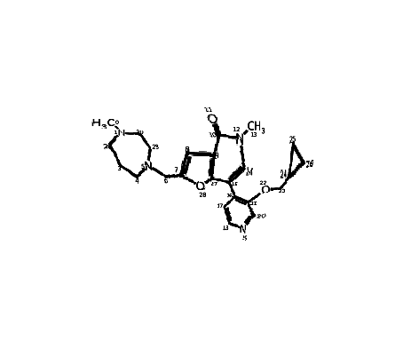 CN1CCCN(Cc2cc3c(=O)n(C)cc(-c4ccncc4OCC4CC4)c3o2)CC1